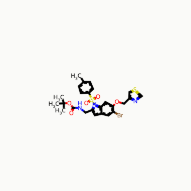 Cc1ccc(S(=O)(=O)n2c(CNC(=O)OC(C)(C)C)cc3cc(Br)c(OCc4cscn4)cc32)cc1